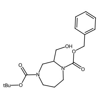 CC(C)(C)OC(=O)N1CCCN(C(=O)OCc2ccccc2)C(CO)C1